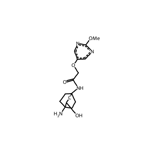 COc1ncc(OCC(=O)NC23CCC(N)(CC2)C(O)C3)cn1